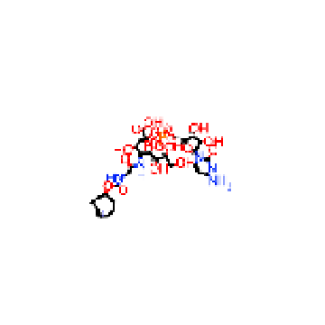 Nc1ccn([C@@H]2O[C@H](COP(=O)(O)OC3(C(=O)O)CC(O)C(NC(=O)CNC(=O)OC4CC/C=C/CCC4)C([C@H](O)[C@H](O)CO)O3)[C@H](O)[C@@H]2O)c(=O)n1